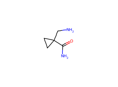 NCC1(C(N)=O)CC1